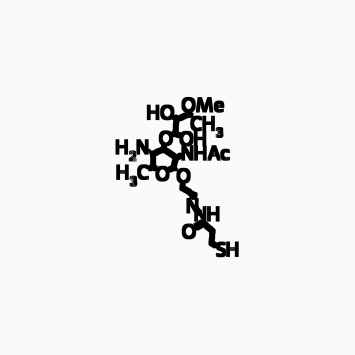 CO[C@H](C)C(O)C(O)OC1C(NC(C)=O)[C@H](OC/C=N/NC(=O)CCS)OC(C)[C@@H]1N